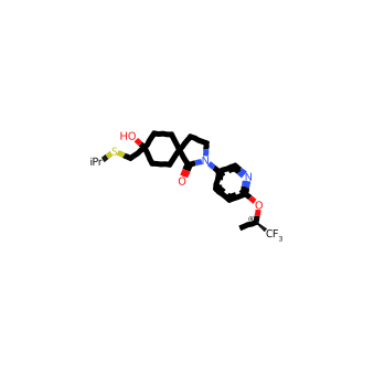 CC(C)SCC1(O)CCC2(CCN(c3ccc(O[C@H](C)C(F)(F)F)nc3)C2=O)CC1